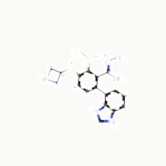 N/N=C(\N)c1c(-c2cccc3[nH]cnc23)ccc(SC2CNC2)c1[S+](N)[O-]